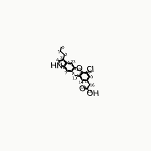 CCCc1c[nH]c2ccc(Oc3c(C)cc(CC(=O)O)cc3Cl)cc12